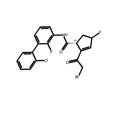 O=C(CBr)C1=CC(F)C[C@H]1C(=O)Nc1cccc(-c2ccccc2Cl)c1F